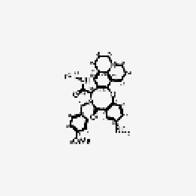 COc1ccc(CN2C(=O)c3cc([N+](=O)[O-])ccc3Oc3c(cc4c5c3CCCN5CCC4)C2C(=O)NC(C)(C)C)cc1